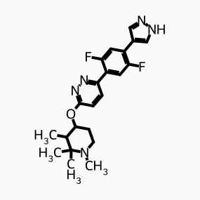 CC1C(Oc2ccc(-c3cc(F)c(-c4cn[nH]c4)cc3F)nn2)CCN(C)C1(C)C